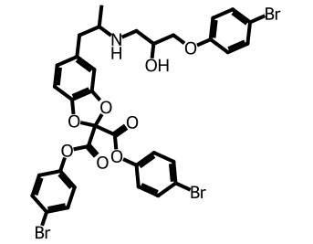 CC(Cc1ccc2c(c1)OC(C(=O)Oc1ccc(Br)cc1)(C(=O)Oc1ccc(Br)cc1)O2)NCC(O)COc1ccc(Br)cc1